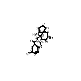 O=c1c2cc(F)ccc2ncn1CC1(O)CCNCC12CCCC2